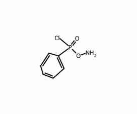 NOP(=O)(Cl)c1ccccc1